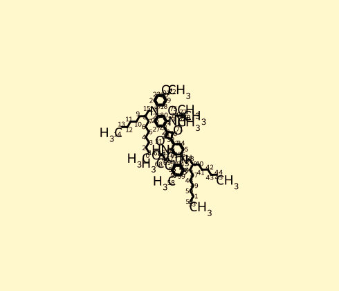 CCCCCCCCC(CCCCCC)CN(c1ccc(OC)cc1)c1ccc(C2=C([O-])/C(=C3C=C/C(=[N+](\CC(CCCCCC)CCCCCCCC)c4ccc(C)cc4)C=C/3NC(=O)C(C)(C)C)C2=O)c(NC(=O)C(C)(C)C)c1